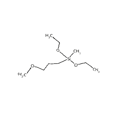 [CH2]OCCC[Si](C)(OCC)OCC